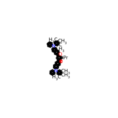 Cc1cc(N(c2ccccc2)c2ccc3cc4c(cc3c2)oc2c(C(C)C)c3oc5cc6cc(N(c7ccccc7)c7cc(C)c(C)c(C)c7)ccc6cc5c3cc24)cc(C)c1C